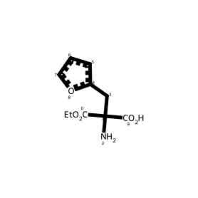 CCOC(=O)C(N)(Cc1ccco1)C(=O)O